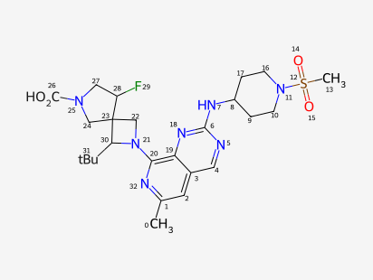 Cc1cc2cnc(NC3CCN(S(C)(=O)=O)CC3)nc2c(N2CC3(CN(C(=O)O)CC3F)C2C(C)(C)C)n1